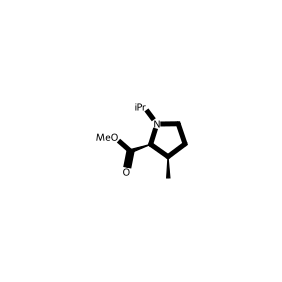 COC(=O)[C@@H]1[C@H](C)CCN1C(C)C